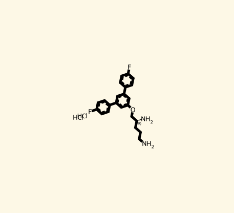 Cl.Cl.NCCC[C@@H](N)COc1cc(-c2ccc(F)cc2)cc(-c2ccc(F)cc2)c1